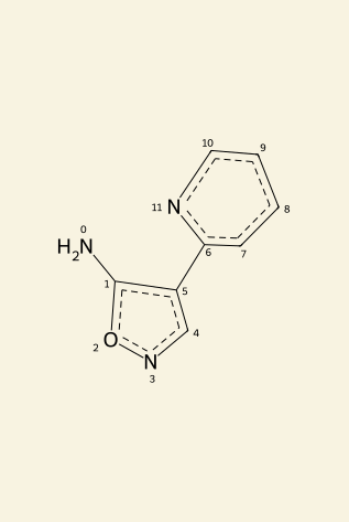 Nc1oncc1-c1ccccn1